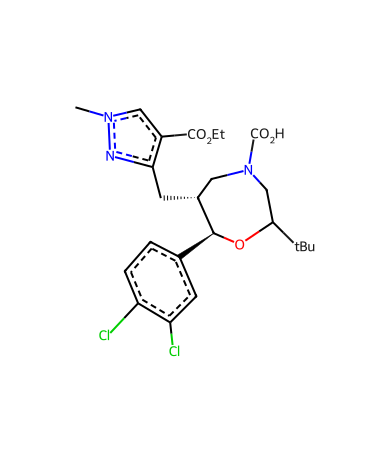 CCOC(=O)c1cn(C)nc1C[C@@H]1CN(C(=O)O)CC(C(C)(C)C)O[C@H]1c1ccc(Cl)c(Cl)c1